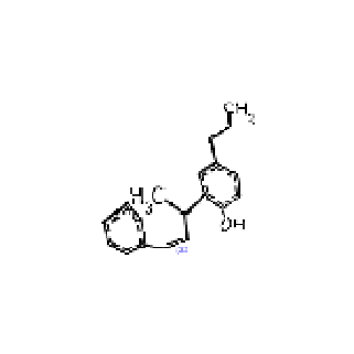 C=CCc1ccc(O)c(C(C)/C=C\c2ccccc2)c1